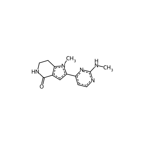 CNc1nccc(-c2cc3c(n2C)CCNC3=O)n1